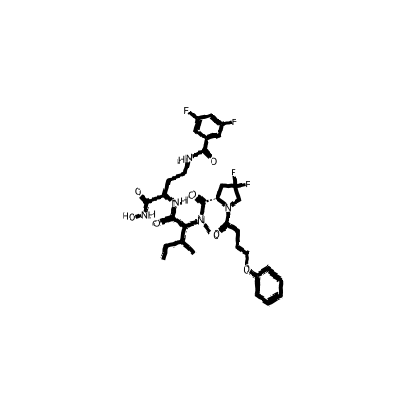 CCC(C)C(C(=O)NC(CCNC(=O)c1cc(F)cc(F)c1)C(=O)NO)N(C)C(=O)[C@@H]1CC(F)(F)CN1C(=O)CCCOc1ccccc1